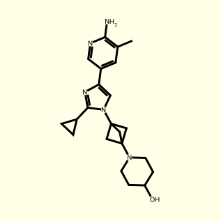 Cc1cc(-c2cn(C34CC(N5CCC(O)CC5)(C3)C4)c(C3CC3)n2)cnc1N